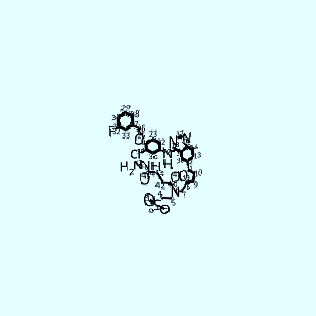 CS(=O)(=O)CCN(Cc1ccc(-c2ccc3ncnc(Nc4ccc(OCc5cccc(F)c5)c(Cl)c4)c3c2)o1)C(=O)CCC(=O)NN